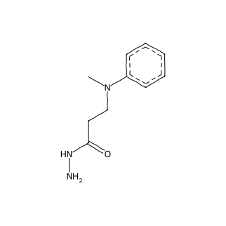 CN(CCC(=O)NN)c1ccccc1